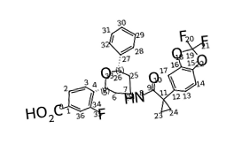 O=C(O)c1ccc([C@H]2C[C@@H](NC(=O)C3(c4ccc5c(c4)OC(F)(F)O5)CC3)C[C@@H](c3ccccc3)O2)c(F)c1